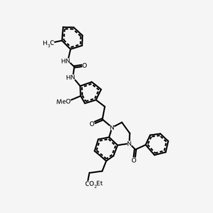 CCOC(=O)CCc1ccc2c(c1)N(C(=O)c1ccccc1)CCN2C(=O)Cc1ccc(NC(=O)Nc2ccccc2C)c(OC)c1